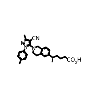 Cc1ccc(-n2nc(C)c(C#N)c2N2CCc3cc([C@H](C)CCCC(=O)O)ccc3C2)cc1